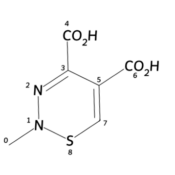 CN1N=C(C(=O)O)C(C(=O)O)=CS1